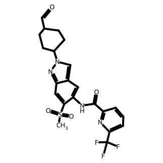 CS(=O)(=O)c1cc2nn(C3CCC(C=O)CC3)cc2cc1NC(=O)c1cccc(C(F)(F)F)n1